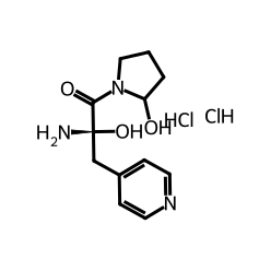 Cl.Cl.N[C@@](O)(Cc1ccncc1)C(=O)N1CCCC1O